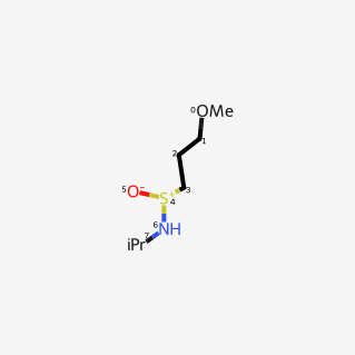 COCCC[S+]([O-])NC(C)C